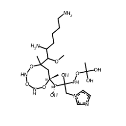 COC(C(N)CCCCN)C1(C)C[C@](C)([P@@](O)C(O)(Cn2ccnc2)POC(C)(O)O)ONONO1